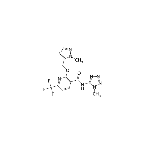 Cn1ncnc1COc1nc(C(F)(F)F)ccc1C(=O)Nc1nnnn1C